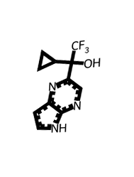 OC(c1cnc2[nH]ccc2n1)(C1CC1)C(F)(F)F